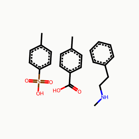 CNCCc1ccccc1.Cc1ccc(C(=O)O)cc1.Cc1ccc(S(=O)(=O)O)cc1